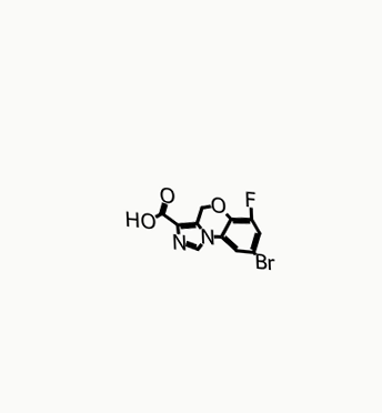 O=C(O)c1ncn2c1COc1c(F)cc(Br)cc1-2